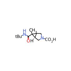 CC(C)(C)NC(=O)C1(C)C2CN(C(=O)O)C[C@H]21